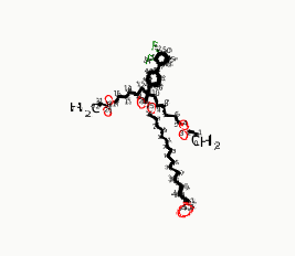 C=CC(=O)OCCCCCCC(CCCCCCOC(=O)C=C)(C(=O)OCCCCCCCCCCCCCCCC=O)c1ccc(-c2cccc(F)c2F)cc1